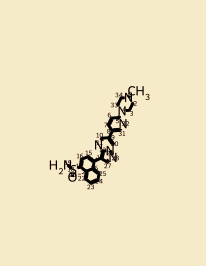 CN1CCN(c2ccc(-c3cnc4c(-c5ccc([S+](N)[O-])c6ccccc56)cnn4c3)cn2)CC1